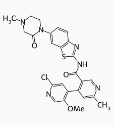 COc1cnc(Cl)cc1-c1cc(C)ncc1C(=O)Nc1nc2ccc(N3CCN(C)CC3=O)cc2s1